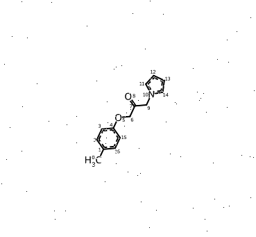 Cc1ccc(OCC(=O)Cn2cccc2)cc1